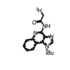 [3H]CC(=O)Nc1nc2ccccc2c2c1ncn2C(C)CC